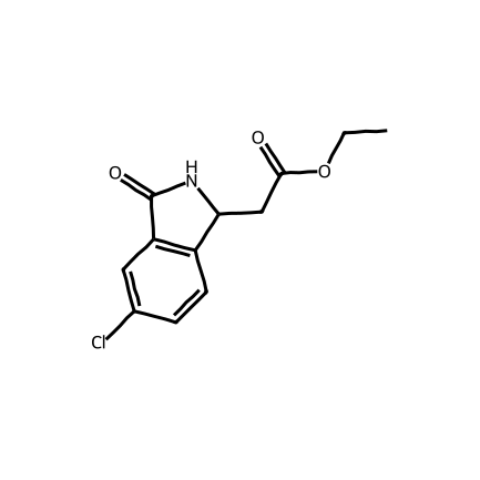 CCOC(=O)CC1NC(=O)c2cc(Cl)ccc21